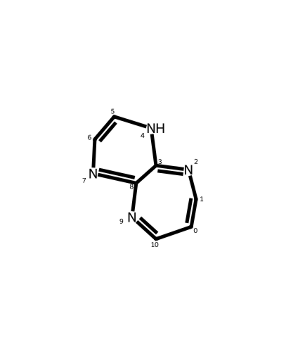 C1=CN=C2NC=CN=C2N=C1